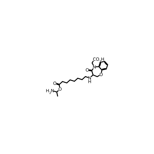 CC(N)OC(=O)CCCCCCCNC1COc2ccccc2N(CC(=O)O)C1=O